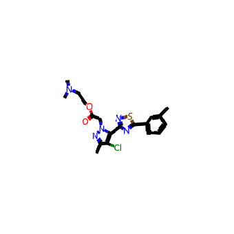 Cc1cccc(-c2nc(-c3c(Cl)c(C)nn3CC(=O)OCCN(C)C)ns2)c1